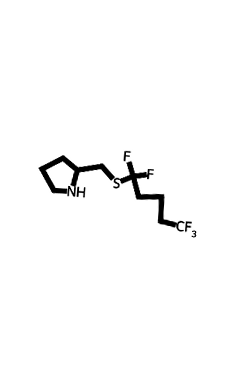 FC(F)(F)CCCC(F)(F)SCC1CCCN1